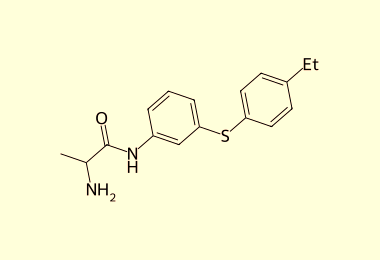 CCc1ccc(Sc2cccc(NC(=O)C(C)N)c2)cc1